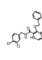 O=C(NCc1ccc(Cl)c(Cl)c1)c1[nH]ccc(=O)c1OCc1ccccc1